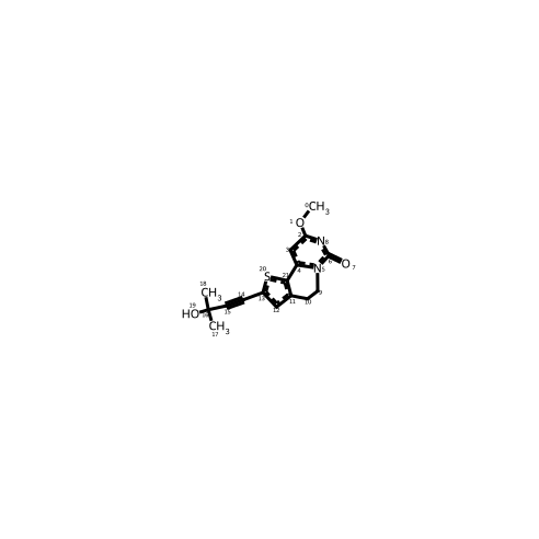 COc1cc2n(c(=O)n1)CCc1cc(C#CC(C)(C)O)sc1-2